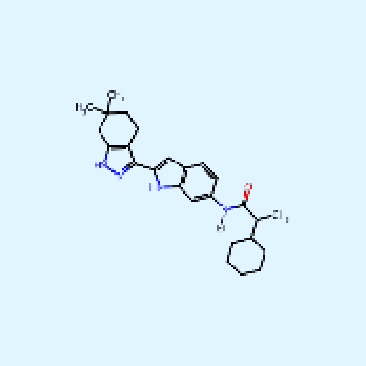 CCN(C(=O)C(C)C1CCCCC1)c1ccc2cc(-c3n[nH]c4c3CCC(C)(C)C4)[nH]c2c1